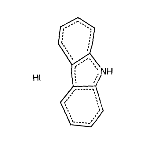 I.c1ccc2c(c1)[nH]c1ccccc12